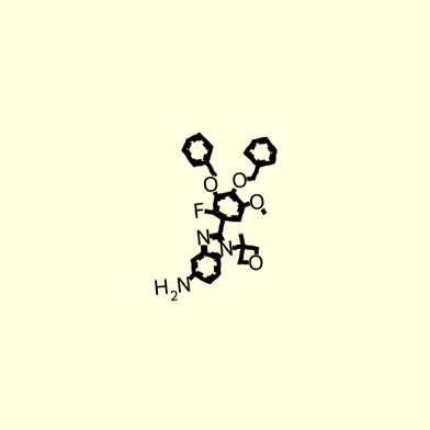 COc1cc(-c2nc3cc(N)ccc3n2C2(C)COC2)c(F)c(OCc2ccccc2)c1OCc1ccccc1